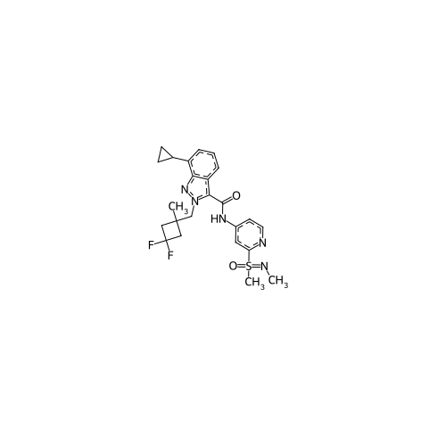 CN=S(C)(=O)c1cc(NC(=O)c2c3cccc(C4CC4)c3nn2CC2(C)CC(F)(F)C2)ccn1